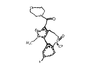 Cn1nc(C(=O)N2CCOCC2)c2c1-c1cc(F)ccc1S(=O)(=O)C2